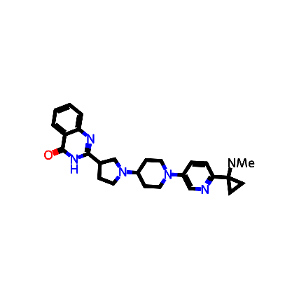 CNC1(c2ccc(N3CCC(N4CCC(c5nc6ccccc6c(=O)[nH]5)C4)CC3)cn2)CC1